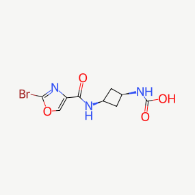 O=C(O)N[C@H]1C[C@@H](NC(=O)c2coc(Br)n2)C1